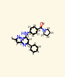 Cc1cc2nc(-c3ccccc3)cc(Nc3ccc(C(=O)N4CCCC4)cc3)n2n1